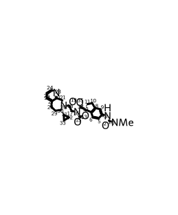 CNC(=O)Nc1ccc2c(c1)CC[C@@]21OC(=O)N(CC(=O)N2Cc3ncccc3CC[C@H]2C2CC2)C1=O